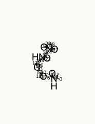 CC(C)NC(=O)CCOC(C)(C)CCOC(C)(C)CCNC(=O)CCN1C(=O)C=CC1=O